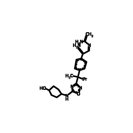 C=C(N)/N=C\C(=C/N)c1ccc(C(C)(c2noc(NC3CCC(O)CC3)n2)C(C)C)cc1